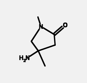 CN1CC(C)(N)CC1=O